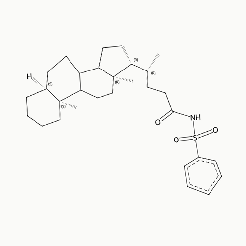 C[C@H](CCC(=O)NS(=O)(=O)c1ccccc1)[C@H]1CCC2C3CC[C@@H]4CCCC[C@]4(C)C3CC[C@@]21C